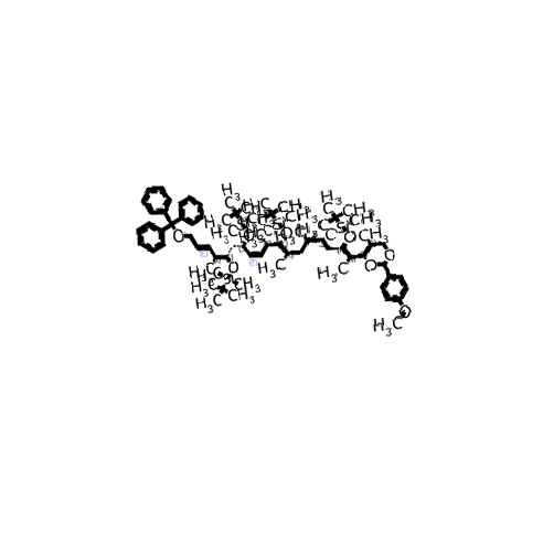 COc1ccc(C2OC[C@H](C)[C@@H]([C@@H](C)[C@@H](CC[C@H](C)C[C@@H](C)[C@@H](O[Si](C)(C)C(C)(C)C)[C@@H](C)/C=C\[C@H](C[C@H](O[Si](C)(C)C(C)(C)C)[C@@H](C)/C=C/COC(c3ccccc3)(c3ccccc3)c3ccccc3)O[Si](C)(C)C(C)(C)C)O[Si](C)(C)C(C)(C)C)O2)cc1